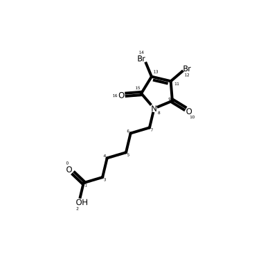 O=C(O)CCCCCN1C(=O)C(Br)=C(Br)C1=O